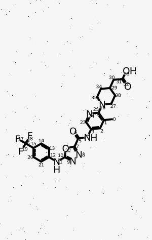 Cc1cc(NC(=O)c2nnc(Nc3ccc(C(F)(F)F)cc3)o2)cnc1N1CCC(CC(=O)O)CC1